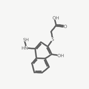 O=C(O)CSc1cc(NS)c2ccccc2c1O